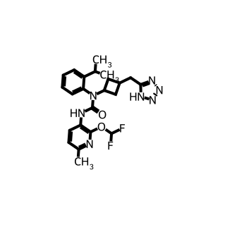 Cc1ccc(NC(=O)N(c2ccccc2C(C)C)C2CC(Cc3nnn[nH]3)C2)c(OC(F)F)n1